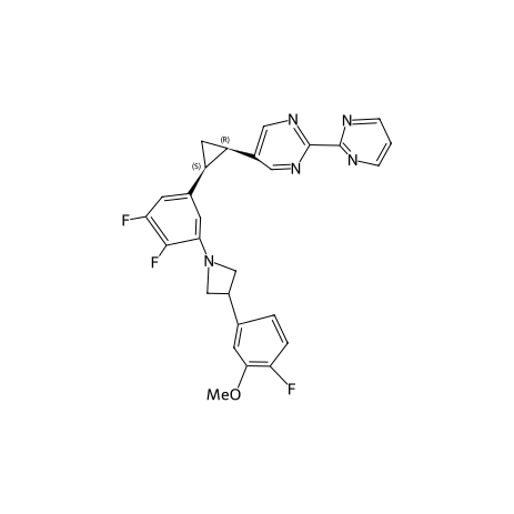 COc1cc(C2CN(c3cc([C@H]4C[C@H]4c4cnc(-c5ncccn5)nc4)cc(F)c3F)C2)ccc1F